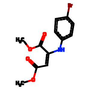 COC(=O)C=C(Nc1ccc(Br)cc1)C(=O)OC